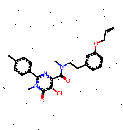 C=CCOc1cccc(CCN(C)C(=O)c2nc(-c3ccc(C)cc3)n(C)c(=O)c2O)c1